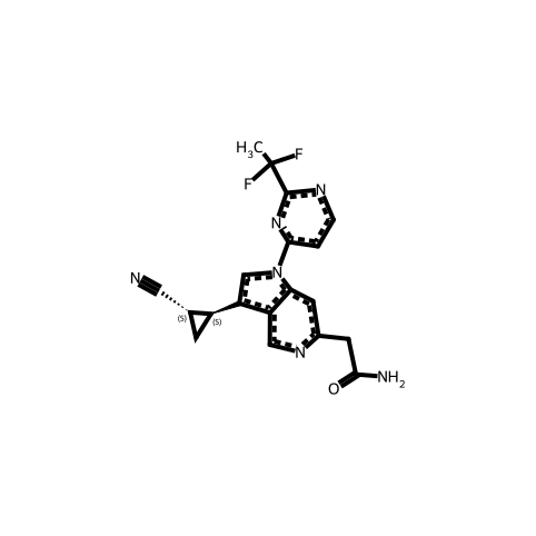 CC(F)(F)c1nccc(-n2cc([C@H]3C[C@@H]3C#N)c3cnc(CC(N)=O)cc32)n1